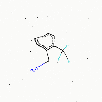 NCc1ccccc1C(F)(F)CF